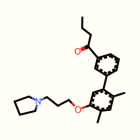 CCCC(=O)c1cccc(-c2cc(OCCCN3CCCC3)c(C)cc2C)c1